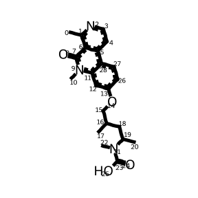 Cc1nccc2c1c(=O)n(C)c1cc(OCC(C)CC(C)N(C)C(=O)O)ccc21